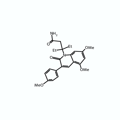 CCC(CC)(CC(N)=O)n1c(=O)c(-c2ccc(OC)cc2)cc2c(OC)cc(OC)cc21